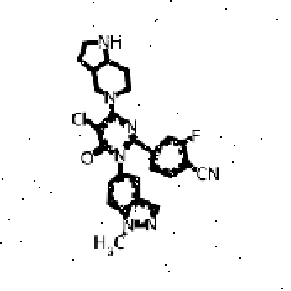 Cn1ncc2cc(-n3c(-c4ccc(C#N)c(F)c4)nc(N4CCC5NCCC5C4)c(Cl)c3=O)ccc21